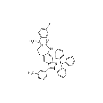 Cc1cc(-c2nn(C(c3ccccc3)(c3ccccc3)c3ccccc3)c3cc4c(cc23)CCN([C@H](C)c2ccc(F)cc2)C(=O)N4)ccn1